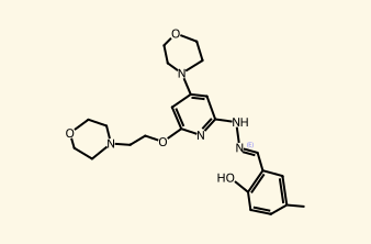 Cc1ccc(O)c(/C=N/Nc2cc(N3CCOCC3)cc(OCCN3CCOCC3)n2)c1